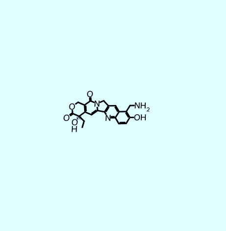 CC[C@@]1(O)C(=O)OCc2c1cc1n(c2=O)Cc2cc3c(CN)c(O)ccc3nc2-1